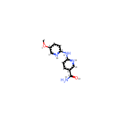 COc1ccc(Nc2ccc(C(N)=O)cn2)nc1